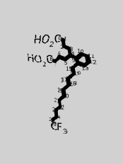 O=C(O)CCCC(CCCC(=O)O)c1ccccc1CCCCCCCCCCCC(F)(F)F